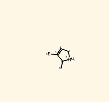 CC1NCC=C1F